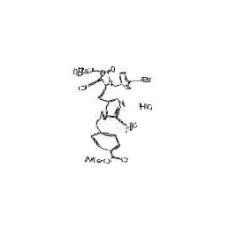 CCCCc1ncc(C=C2C(=O)N(CCCC)C(=O)N2Cc2ccc(Br)s2)n1Cc1ccc(C(=O)OC)cc1.Cl